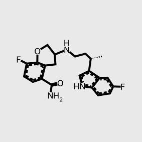 C[C@@H](CCNC1COc2c(F)ccc(C(N)=O)c2C1)c1c[nH]c2ccc(F)cc12